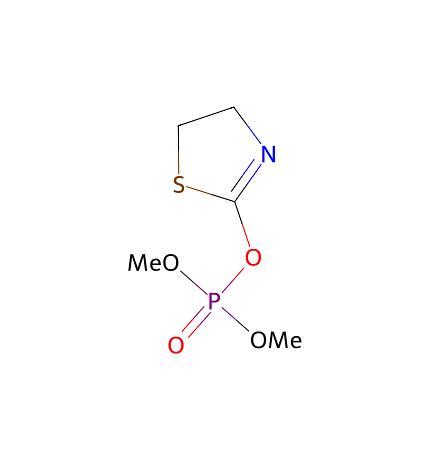 COP(=O)(OC)OC1=NCCS1